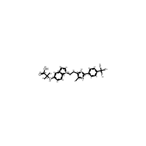 Cc1nc(-c2ccc(C(F)(F)F)cc2)sc1CCn1ccc2cc(OC(C)(C)C(=O)O)ccc21